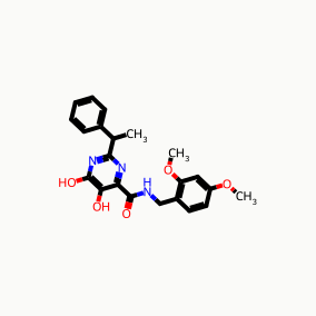 COc1ccc(CNC(=O)c2nc(C(C)c3ccccc3)nc(O)c2O)c(OC)c1